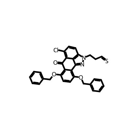 O=C1c2c(OCc3ccccc3)ccc(OCc3ccccc3)c2-c2nn(CCC=S)c3ccc(Cl)c1c23